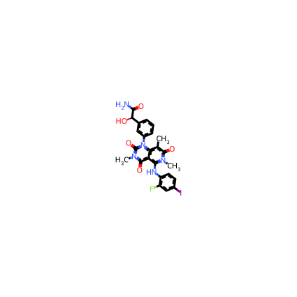 Cc1c(=O)n(C)c(Nc2ccc(I)cc2F)c2c(=O)n(C)c(=O)n(-c3cccc([C@@H](O)C(N)=O)c3)c12